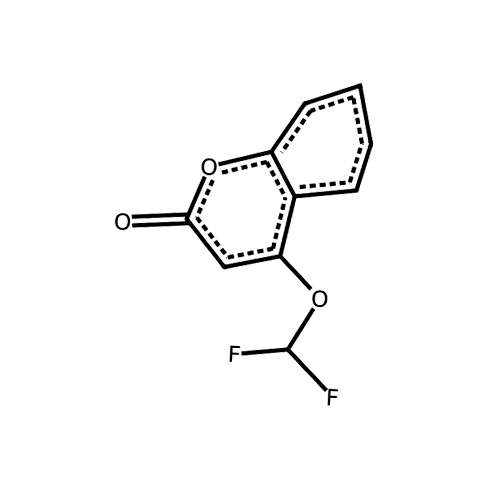 O=c1cc(OC(F)F)c2ccccc2o1